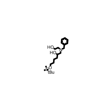 CC(C)(C)[Si](C)(C)OCCCCC(O)CN(CCO)Cc1ccccc1